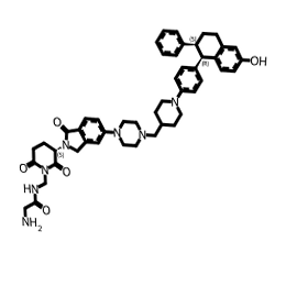 NCC(=O)NCN1C(=O)CC[C@H](N2Cc3cc(N4CCN(CC5CCN(c6ccc([C@@H]7c8ccc(O)cc8CC[C@@H]7c7ccccc7)cc6)CC5)CC4)ccc3C2=O)C1=O